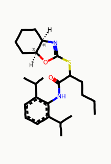 CCCCC(SC1=N[C@@H]2CCCC[C@@H]2O1)C(=O)Nc1c(C(C)C)cccc1C(C)C